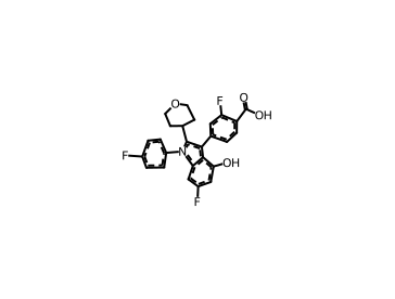 O=C(O)c1ccc(-c2c(C3CCOCC3)n(-c3ccc(F)cc3)c3cc(F)cc(O)c23)cc1F